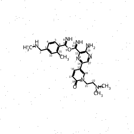 CNCc1ccc(C(=N)OC(=N)c2nc(-c3ccc(=O)n(CCN(C)C)c3)cnc2N)c(C)c1